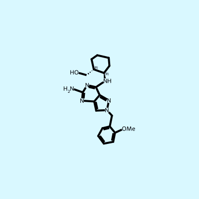 COc1ccccc1Cn1cc2nc(N)nc(N[C@@H]3CCCC[C@H]3CO)c2n1